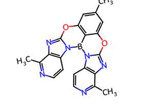 Cc1cc2c3c(c1)Oc1nc4c(C)nccc4n1B3n1c(nc3c(C)nccc31)O2